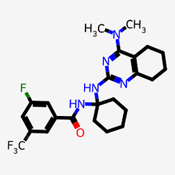 CN(C)c1nc(NC2(NC(=O)c3cc(F)cc(C(F)(F)F)c3)CCCCC2)nc2c1CCCC2